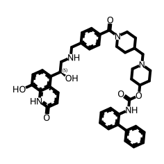 O=C(Nc1ccccc1-c1ccccc1)OC1CCN(CC2CCN(C(=O)c3ccc(CNC[C@@H](O)c4ccc(O)c5[nH]c(=O)ccc45)cc3)CC2)CC1